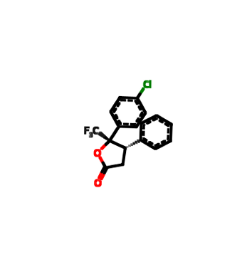 O=C1C[C@@H](c2ccccc2)[C@](c2ccc(Cl)cc2)(C(F)(F)F)O1